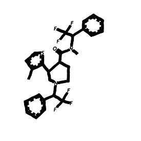 Cc1ccsc1C1CN(C(c2ccccc2)C(F)(F)F)CCC1C(=O)N(C)C(c1ccccc1)C(F)(F)F